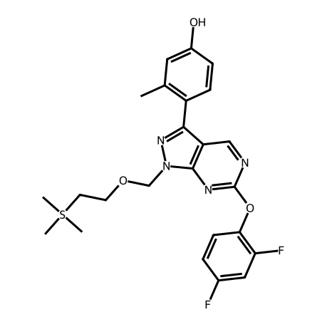 Cc1cc(O)ccc1-c1nn(COCCS(C)(C)C)c2nc(Oc3ccc(F)cc3F)ncc12